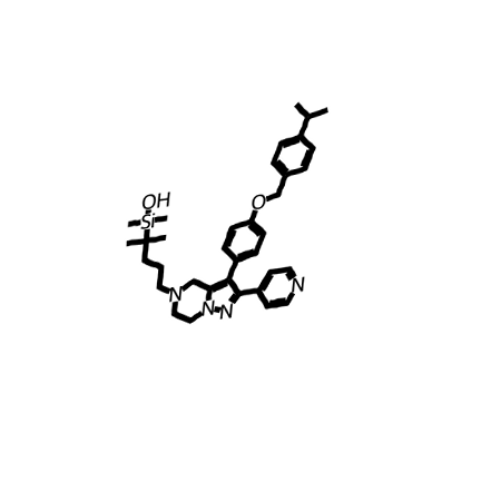 CC(C)c1ccc(COc2ccc(-c3c(-c4ccncc4)nn4c3CN(CCCC(C)(C)[Si](C)(C)O)CC4)cc2)cc1